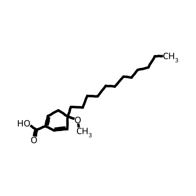 CCCCCCCCCCCCC1(OC)C=CC(C(=O)O)=CC1